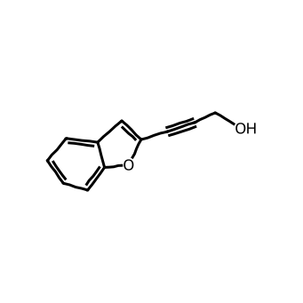 OCC#Cc1cc2ccccc2o1